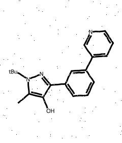 Cc1c(O)c(-c2cccc(-c3cccnc3)c2)nn1C(C)(C)C